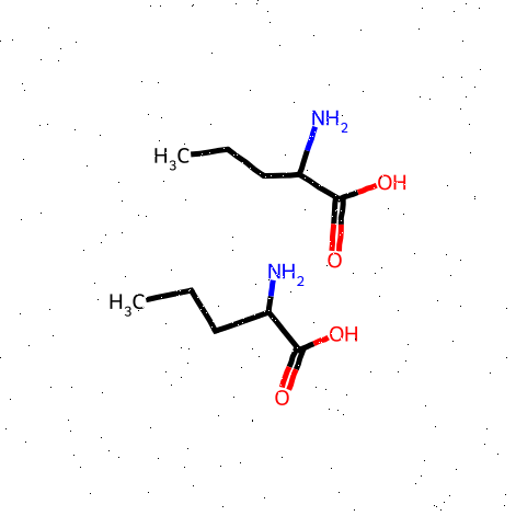 CCCC(N)C(=O)O.CCCC(N)C(=O)O